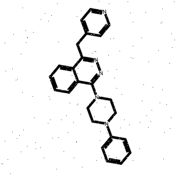 c1ccc(N2CCN(c3nnc(Cc4ccncc4)c4ccccc34)CC2)cc1